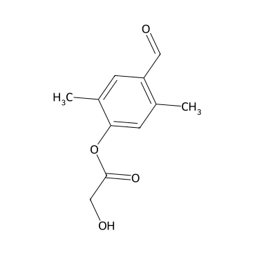 Cc1cc(OC(=O)CO)c(C)cc1C=O